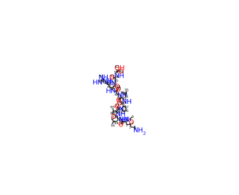 CC(=O)N[C@@H](CCCCN)C(=O)N[C@@H](CC(C)C)C(=O)N[C@H](C(=O)N1CCC[C@H]1C(=O)N[C@@H](CC(C)C)C(=O)NCC(=O)N[C@@H](CCCNC(=N)N)C(=O)NCC(=O)NCC(=O)O)C(C)C